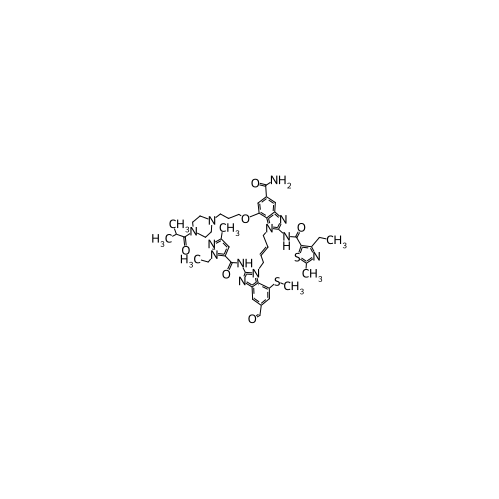 CCc1nc(C)sc1C(=O)Nc1nc2cc(C(N)=O)cc(OCCCN3CCN(C(=O)C(C)C)CC3)c2n1C/C=C/Cn1c(NC(=O)c2cc(C)nn2CC)nc2cc(C=O)cc(SC)c21